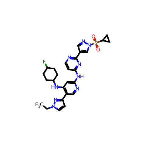 O=S(=O)(C1CC1)n1cc(-c2nccc(Nc3cc(NC4CCC(F)CC4)c(-c4ccn(CC(F)(F)F)n4)cn3)n2)cn1